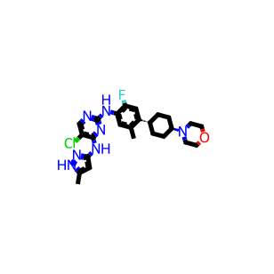 Cc1cc(Nc2nc(Nc3cc(C)c([C@H]4CC[C@H](N5CCOCC5)CC4)cc3F)ncc2Cl)n[nH]1